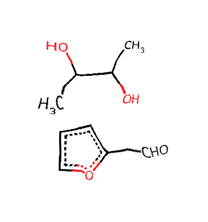 CC(O)C(C)O.O=Cc1ccco1